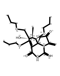 C=C1C(=O)C[C@@]23C(=C(OCCC)[C@@](O)(COCCC)[C@@H](C)[C@H]2OCCC)C(=O)NC(=N)N13